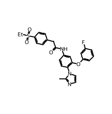 CCS(=O)(=O)c1ccc(CC(=O)Nc2ccc(-n3ccnc3C)c(Oc3cccc(F)c3)c2)cc1